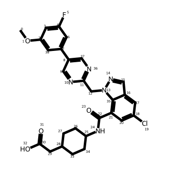 COc1cc(F)cc(-c2cnc(Cn3ncc4cc(Cl)cc(C(=O)NC5CCC(CC(=O)O)CC5)c43)nc2)c1